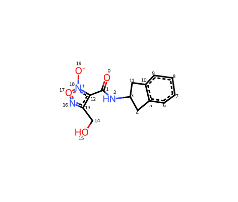 O=C(NC1Cc2ccccc2C1)c1c(CO)no[n+]1[O-]